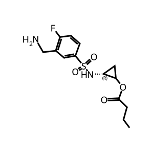 CCCC(=O)OC1C[C@H]1NS(=O)(=O)c1ccc(F)c(CN)c1